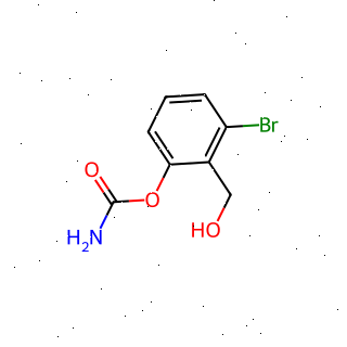 NC(=O)Oc1cccc(Br)c1CO